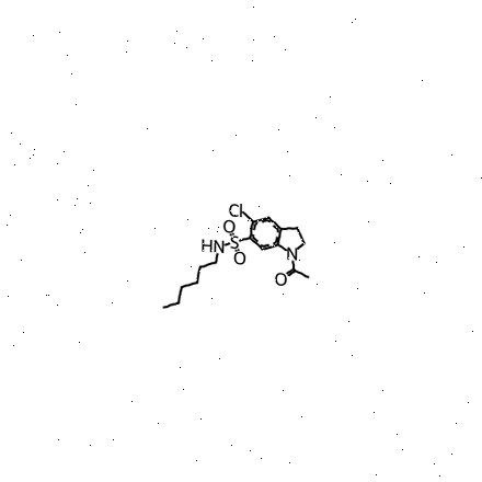 CCCCCCNS(=O)(=O)c1cc2c(cc1Cl)CCN2C(C)=O